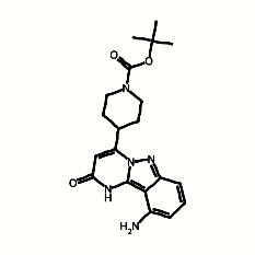 CC(C)(C)OC(=O)N1CCC(c2cc(=O)[nH]c3c4c(N)cccc4nn23)CC1